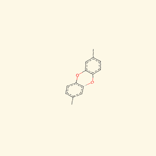 Cc1ccc2c(c1)Oc1ccc(C)cc1O2